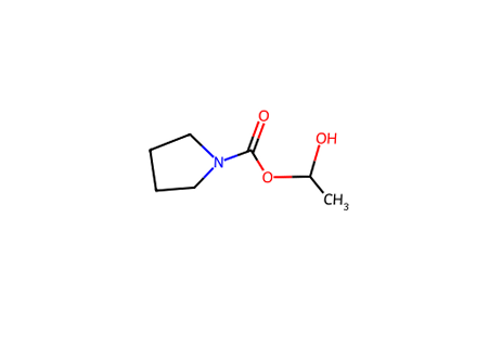 CC(O)OC(=O)N1CCCC1